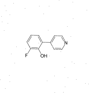 Oc1c(F)cccc1-c1ccncc1